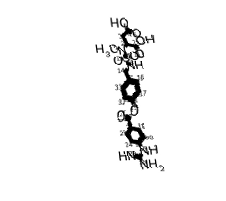 CN(C(CC(=O)O)C(=O)O)S(=O)(=O)NCc1ccc(OC(=O)c2ccc(NC(=N)N)cc2)cc1